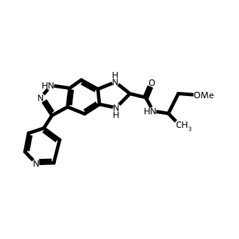 COCC(C)NC(=O)C1Nc2cc3[nH]nc(-c4ccncc4)c3cc2N1